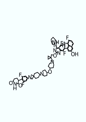 CCc1c(F)ccc2cc(O)cc(-c3ncc4c(N5CC6CCC(C5)N6)nc(OCC5(CN6CCC(OC7CCN(C8CCC9(CC8)CN(c8cc(F)c(C%10CCC(=O)NC%10=O)c(F)c8)C9)CC7)CC6)CC5)nc4c3F)c12